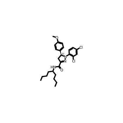 CCCCC(CCCC)NC(=O)C1=NN(c2ccc(Cl)cc2Cl)[C@H](c2ccc(OC)cc2)C1